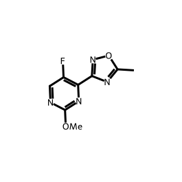 COc1ncc(F)c(-c2noc(C)n2)n1